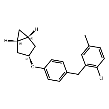 Cc1ccc(Cl)c(Cc2ccc(O[C@H]3C[C@@H]4C[C@@H]4C3)cc2)c1